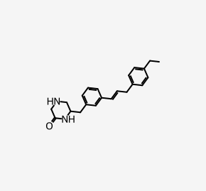 CCc1ccc(C/C=C/c2cccc(CC3CNCC(=O)N3)c2)cc1